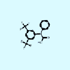 O=C(O)N(c1ccccc1)c1cc(C(F)(F)F)cc(C(F)(F)F)c1